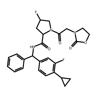 O=C(NC(c1ccccc1)c1ccc(C2CC2)c(F)c1)C1CC(F)CN1C(=O)CN1CCOC1=O